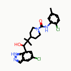 Cc1ccc(Cl)c(NC(=O)N2CCC(C(C)(C)C(O)c3cc(Cl)cc4cn[nH]c34)CC2)c1